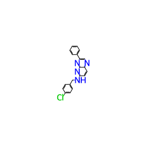 Clc1ccc(CNc2ccc3ncc(-c4ccccc4)nc3n2)cc1